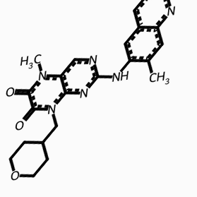 Cc1cc2ncccc2cc1Nc1ncc2c(n1)n(CC1CCOCC1)c(=O)c(=O)n2C